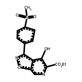 CCOC(=O)c1ncc2onc(-c3ccc(S(C)(=O)=O)cc3)c2c1O